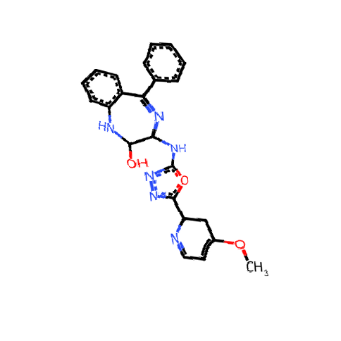 COC1=CC=NC(c2nnc(NC3N=C(c4ccccc4)c4ccccc4NC3O)o2)C1